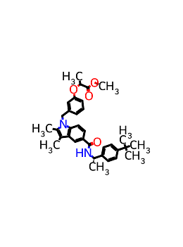 COC(=O)C(C)Oc1cccc(Cn2c(C)c(C)c3cc(C(=O)N[C@@H](C)c4ccc(C(C)(C)C)cc4)ccc32)c1